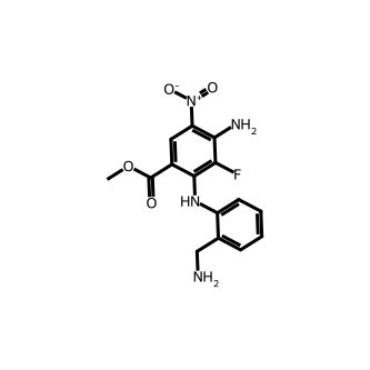 COC(=O)c1cc([N+](=O)[O-])c(N)c(F)c1Nc1ccccc1CN